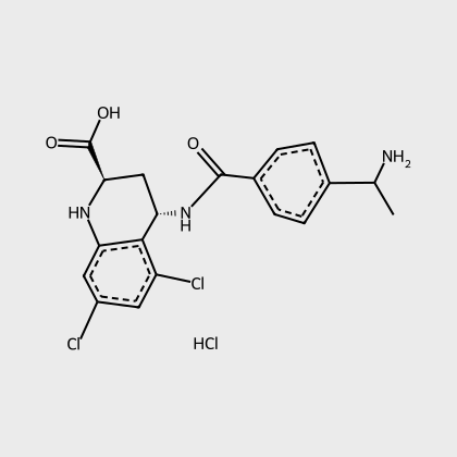 CC(N)c1ccc(C(=O)N[C@H]2C[C@H](C(=O)O)Nc3cc(Cl)cc(Cl)c32)cc1.Cl